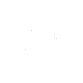 Cc1noc(C2=NCCCN2)n1